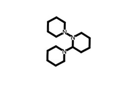 C1CCN(C2CCCCN2N2CCCCC2)CC1